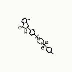 Cc1ccc(S(=O)(=O)N2CCN(C(C)(C)c3ccc(-c4cc5c(C)cccc5c(=O)[nH]4)cc3)CC2)cc1